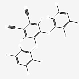 N#Cc1c(F)c(Sc2c(F)c(F)cc(F)c2F)c(Sc2c(F)c(F)cc(F)c2F)c(F)c1C#N